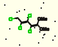 COC(OC)=C(Cl)C(Cl)=C(Cl)CCl